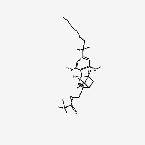 CCCCCCC(C)(C)c1cc(OC)c([C@H]2C=C(COC(=O)C(C)(C)C)C3C[C@@H]2C3(C)C)c(OC)c1